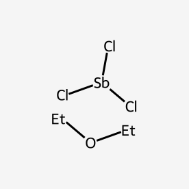 CCOCC.[Cl][Sb]([Cl])[Cl]